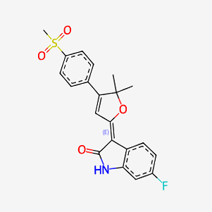 CC1(C)O/C(=C2/C(=O)Nc3cc(F)ccc32)C=C1c1ccc(S(C)(=O)=O)cc1